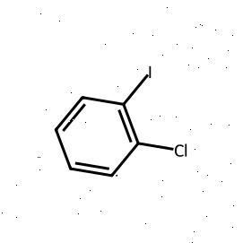 Clc1[c]cccc1I